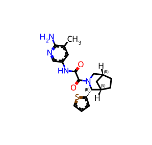 Cc1cc(NC(=O)C(=O)N2C[C@@H]3CC[C@@H](C3)[C@@H]2c2cccs2)cnc1N